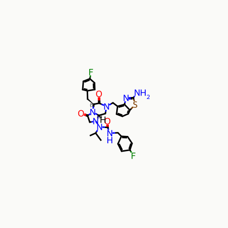 CC(C)N(C(=O)NCc1ccc(F)cc1)N1CC(=O)N2[C@@H](Cc3ccc(F)cc3)C(=O)N(Cc3cccc4sc(N)nc34)C[C@@H]21